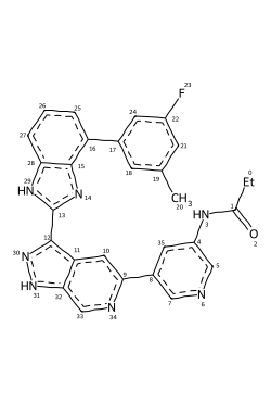 CCC(=O)Nc1cncc(-c2cc3c(-c4nc5c(-c6cc(C)cc(F)c6)cccc5[nH]4)n[nH]c3cn2)c1